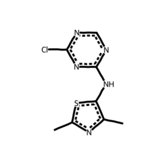 Cc1nc(C)c(Nc2ncnc(Cl)n2)s1